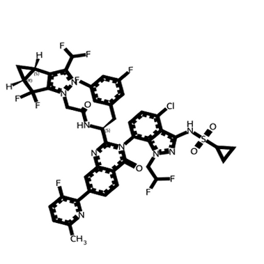 Cc1ccc(F)c(-c2ccc3c(=O)n(-c4ccc(Cl)c5c(NS(=O)(=O)C6CC6)nn(CC(F)F)c45)c([C@H](Cc4cc(F)cc(F)c4)NC(=O)Cn4nc(C(F)F)c5c4C(F)(F)[C@@H]4C[C@H]54)nc3c2)n1